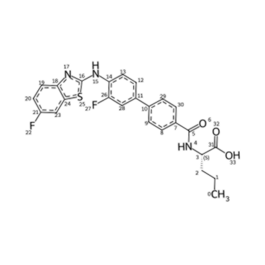 CCC[C@H](NC(=O)c1ccc(-c2ccc(Nc3nc4ccc(F)cc4s3)c(F)c2)cc1)C(=O)O